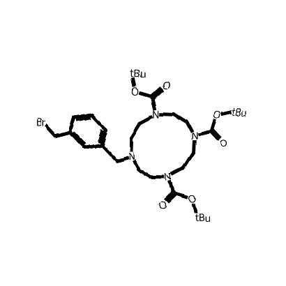 CC(C)(C)OC(=O)N1CCN(Cc2cccc(CBr)c2)CCN(C(=O)OC(C)(C)C)CCN(C(=O)OC(C)(C)C)CC1